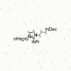 CCCCCCCCCCCCCn1cc[n+](CCCCCCC)c1CCC